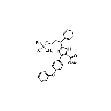 COC(=O)c1[nH]c(C(CCO[Si](C)(C)C(C)(C)C)C2=CCCC=C2)nc1-c1ccc(Oc2ccccc2)cc1